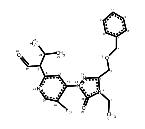 CCn1c(COCc2ccccc2)nn(-c2cc(C(C=O)C(C)C)ncc2F)c1=O